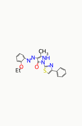 CCOc1ccccc1N=Nc1c(C)[nH]n(-c2nc(-c3ccccc3)cs2)c1=O